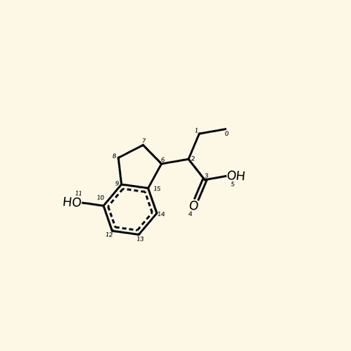 CCC(C(=O)O)C1CCc2c(O)cccc21